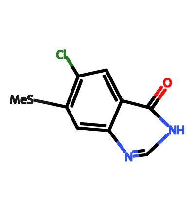 CSc1cc2nc[nH]c(=O)c2cc1Cl